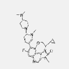 CN(C)C1CCN(C2C=CC(c3c(F)cc4ncc5c6c4c3OCC(C3CC3)n6c(=O)n5C)=CN2C)CC1